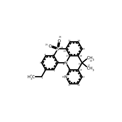 CCc1ccc2c(c1)N1c3ncccc3C(C)(C)c3cccc(c31)S2(=O)=O